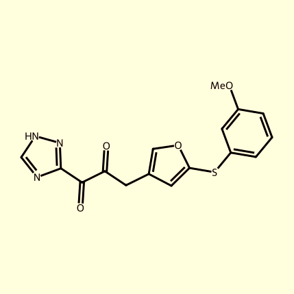 COc1cccc(Sc2cc(CC(=O)C(=O)c3nc[nH]n3)co2)c1